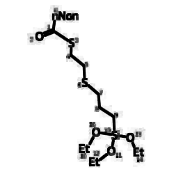 CCCCCCCCCC(=O)SCCSCCC[Si](OCC)(OCC)OCC